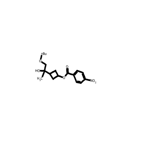 CCCCOCC(C)(O)C1CC(OC(=O)c2ccc([N+](=O)[O-])cc2)C1